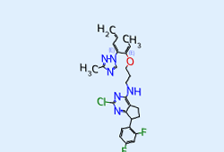 C=C/C=C(\C(=C/C)OCCCNc1nc(Cl)nc2c1CCC2c1ccc(F)cc1F)n1cnc(C)n1